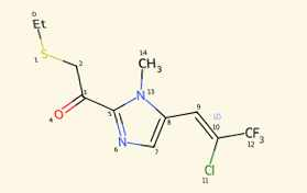 CCSCC(=O)c1ncc(/C=C(\Cl)C(F)(F)F)n1C